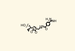 N=C(N)c1ccc(C(=O)NCCCN2CCN(C(CC(=O)O)C3CC3)C(=O)C2=O)cc1